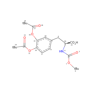 CC(C)(C)OC(=O)N[C@@H](Cc1ccc(OC(=O)C(C)(C)C)c(OC(=O)C(C)(C)C)c1)C(=O)O